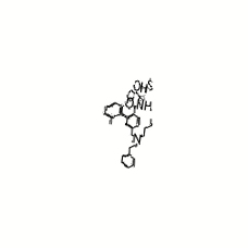 CCCCN(CCc1ccccc1)Cc1ccc(C(=O)N[C@@H](CCSC)C(=O)O)c(-c2ccccc2C)c1